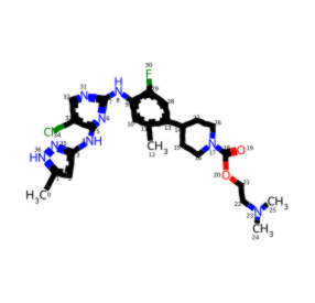 Cc1cc(Nc2nc(Nc3cc(C)c(C4CCN(C(=O)OCCN(C)C)CC4)cc3F)ncc2Cl)n[nH]1